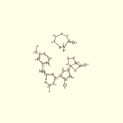 COc1ccnc(Nc2cc(C)cc(-c3sc(C45CCCN4C(=O)C5)nc3Cl)c2)n1.O=C1CCCCCN1